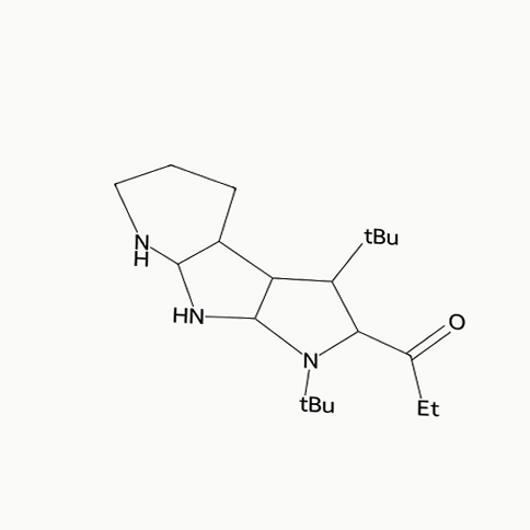 CCC(=O)C1C(C(C)(C)C)C2C3CCCNC3NC2N1C(C)(C)C